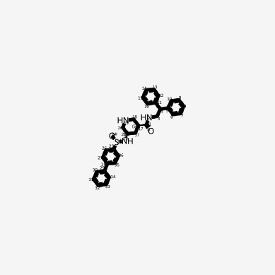 O=C(NCC(c1ccccc1)c1ccccc1)[C@@H]1CNC[C@H](N[S+]([O-])c2ccc(-c3ccccc3)cc2)C1